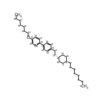 CCCCCCCC[C@H]1CC[C@H](CCc2ccc(-c3ccc(OCCCCCCC)cn3)cc2)CC1